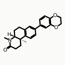 CN1C(=O)CC[C@]2(C)c3ccc(-c4ccc5c(c4)OCCO5)cc3CC[C@@H]12